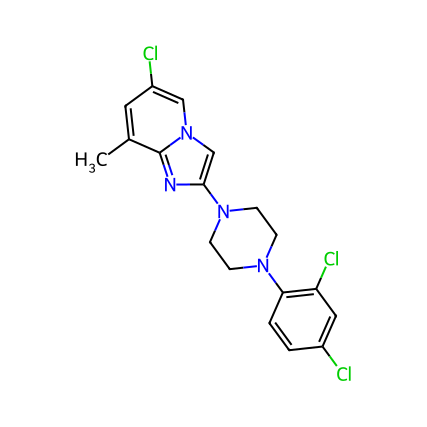 Cc1cc(Cl)cn2cc(N3CCN(c4ccc(Cl)cc4Cl)CC3)nc12